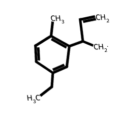 [CH2]C(C=C)c1cc(CC)ccc1C